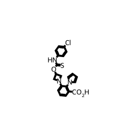 O=C(O)c1cccc(N2CC(OC(=S)Nc3ccc(Cl)cc3)C2)c1-n1cccc1